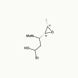 CCC(O)CC(NC)[C@H]1O[C@H]1C